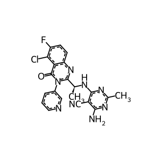 Cc1nc(N)c(C#N)c(N[C@@H](C)c2nc3ccc(F)c(Cl)c3c(=O)n2-c2cccnc2)n1